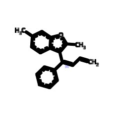 C=C/C=C(/c1ccccc1)c1c(C)oc2cc(C)ccc12